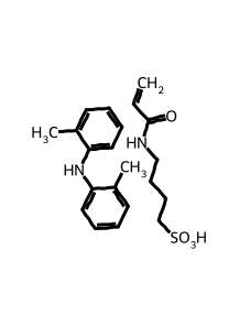 C=CC(=O)NCCCCS(=O)(=O)O.Cc1ccccc1Nc1ccccc1C